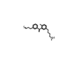 C=C(c1cccc(CCC=S)c1)c1cc(CCCCNC)ccc1C